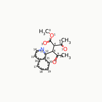 COC(=O)C(C(C)=O)C(C(C)=O)c1nccc2ccccc12